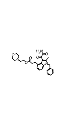 Cc1c(C(=O)C(N)=O)c2c(CCC(=O)OCCN3CCOCC3)cccc2n1Cc1ccccc1